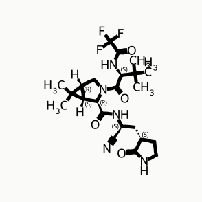 CC(C)(C)[C@H](NC(=O)C(F)(F)F)C(=O)N1C[C@@H]2[C@H]([C@@H]1C(=O)N[C@H](C#N)C[C@@H]1CCNC1=O)C2(C)C